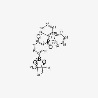 CC1(C)OB(c2ccc3c(c2)P(=O)(c2ccccc2)c2ccccc2O3)OC1(C)C